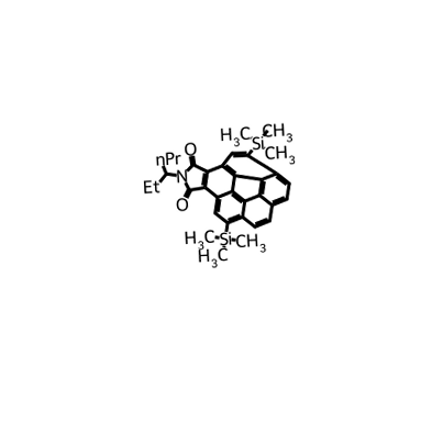 CCCC(CC)n1c(=O)c2c3cc([Si](C)(C)C)c4ccc5ccc6c([Si](C)(C)C)cc(c2c1=O)c1c6c5c4c31